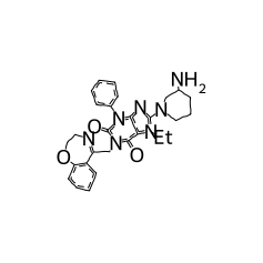 CCn1c(N2CCCC(N)C2)nc2c1c(=O)n(CC1=NCCOc3ccccc31)c(=O)n2-c1ccccc1